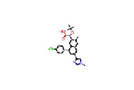 Cc1cc2cc(-c3cn(C)cn3)cc(-c3ccc(Cl)cc3)c2cc1[C@H](OC(C)(C)C)C(=O)O